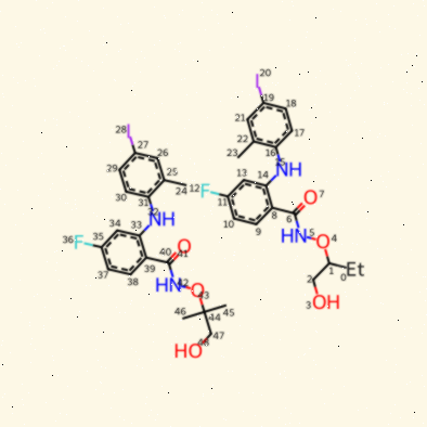 CCC(CO)ONC(=O)c1ccc(F)cc1Nc1ccc(I)cc1C.Cc1cc(I)ccc1Nc1cc(F)ccc1C(=O)NOC(C)(C)CO